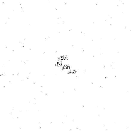 [La].[Ni].[Sb].[Sn]